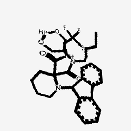 CCCCN(C(=O)C1(C(=O)NCC(F)(F)F)CCCCN1C1c2ccccc2-c2ccccc21)C1COPOC1